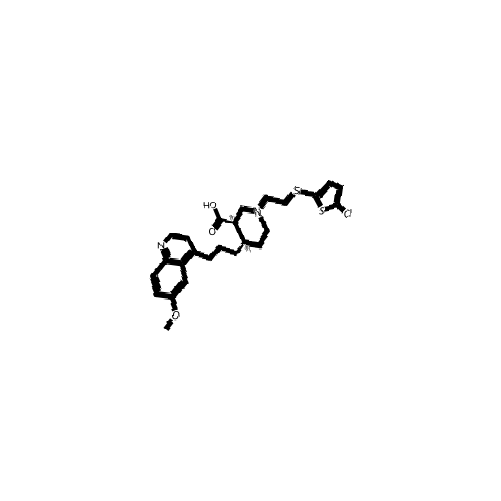 COc1ccc2nccc(CCC[C@@H]3CCN(CCSc4ccc(Cl)s4)C[C@@H]3C(=O)O)c2c1